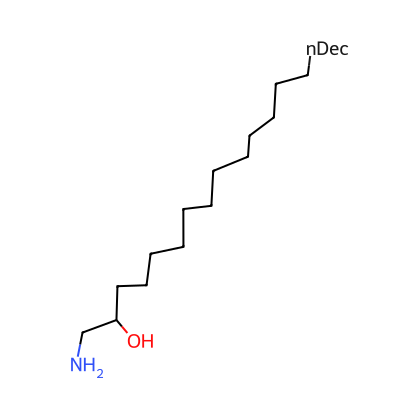 CCCCCCCCCCCCCCCCCCCCCCC(O)CN